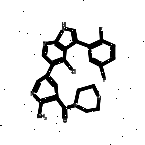 Nc1ncc(-c2cnc3[nH]cc(-c4cc(F)ccc4F)c3c2Cl)cc1C(=O)N1CCOCC1